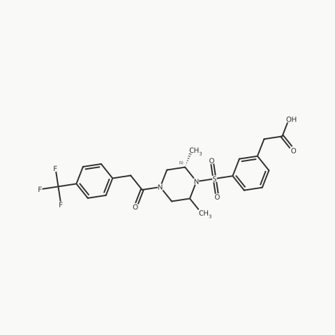 CC1CN(C(=O)Cc2ccc(C(F)(F)F)cc2)C[C@H](C)N1S(=O)(=O)c1cccc(CC(=O)O)c1